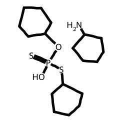 NC1CCCCC1.OP(=S)(OC1CCCCC1)SC1CCCCC1